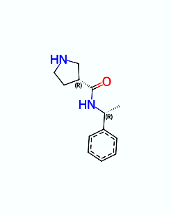 C[C@@H](NC(=O)[C@@H]1CCNC1)c1ccccc1